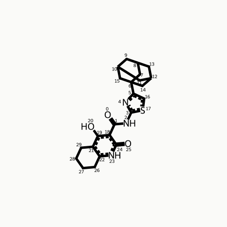 O=C(Nc1nc(C23CC4CC(CC(C4)C2)C3)cs1)c1c(O)c2c([nH]c1=O)CCCC2